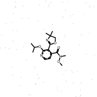 CON(C)C(=O)c1ccnc(OC(C)C)c1C1=NC(C)(C)CO1